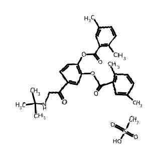 CS(=O)(=O)O.Cc1ccc(C)c(C(=O)Oc2ccc(C(=O)CNC(C)(C)C)cc2OC(=O)c2cc(C)ccc2C)c1